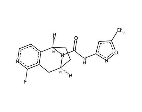 O=C(Nc1cc(C(F)(F)F)on1)N1[C@H]2CC[C@@H]1c1ccnc(F)c1C2